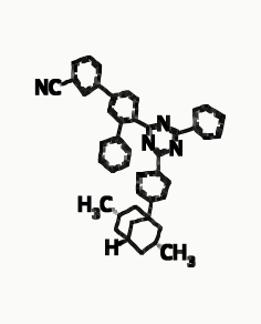 C[C@@H]1C[C@@H]2C[C@H](C)CC(c3ccc(-c4nc(-c5ccccc5)nc(-c5ccc(-c6cccc(C#N)c6)cc5-c5ccccc5)n4)cc3)(C1)C2